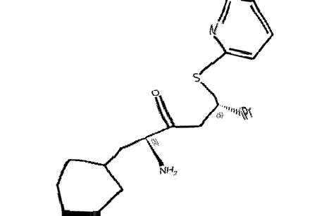 CC(C)[C@H](CC(=O)[C@@H](N)CC1CCCCC1)Sc1ccccn1